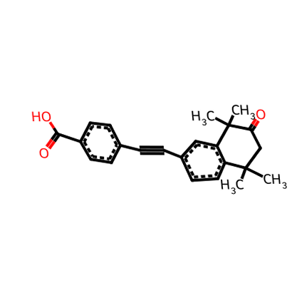 CC1(C)CC(=O)C(C)(C)c2cc(C#Cc3ccc(C(=O)O)cc3)ccc21